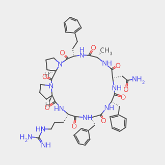 C[C@@H]1NC(=O)[C@H](CC(N)=O)NC(=O)[C@H](Cc2ccccc2)NC(=O)[C@H](Cc2ccccc2)NC(=O)[C@H](CCCNC(=N)N)NC(=O)[C@@H]2CCCN2C(=O)[C@H]2CCCN2C(=O)[C@H](CCc2ccccc2)NC1=O